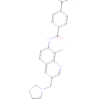 CCCCC(=O)c1ccc(C(=O)Nc2ccc3cc(CN4CCCC4)cnc3c2C)cc1